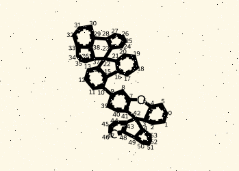 c1ccc2c(c1)Oc1cc(-c3cccc4c3-c3ccccc3C43c4ccccc4-c4cccc5cccc3c45)ccc1C21c2ccccc2-c2ccccc21